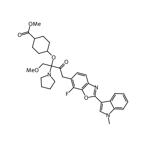 COCC(OC1CCC(C(=O)OC)CC1)(C(=O)Cc1ccc2nc(-c3cn(C)c4ccccc34)oc2c1F)N1CCCC1